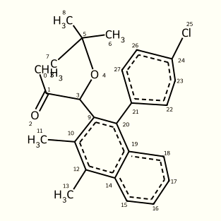 CC(=O)C(OC(C)(C)C)c1c(C)c(C)c2ccccc2c1-c1ccc(Cl)cc1